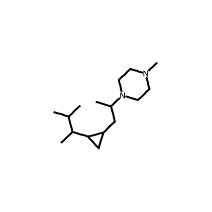 CC(C)C(C)C1CC1CC(C)N1CCN(C)CC1